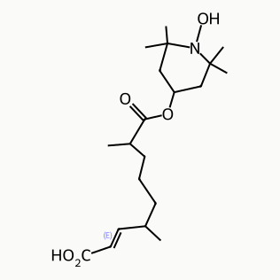 CC(/C=C/C(=O)O)CCCC(C)C(=O)OC1CC(C)(C)N(O)C(C)(C)C1